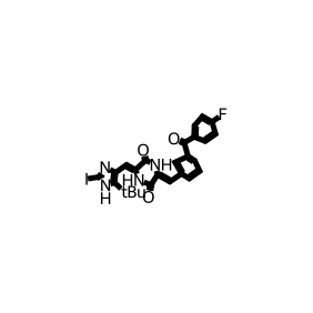 CC(C)(C)c1[nH]c(I)nc1C=c1[nH]c(=O)c(=Cc2cccc(C(=O)c3ccc(F)cc3)c2)[nH]c1=O